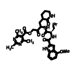 COc1cccc2[nH]c(C(=O)N[C@@H](CC(C)C)C(=O)NC(CC3CCCNC3=O)C(=O)COC(=O)c3c(C)nc(C)nc3C)cc12